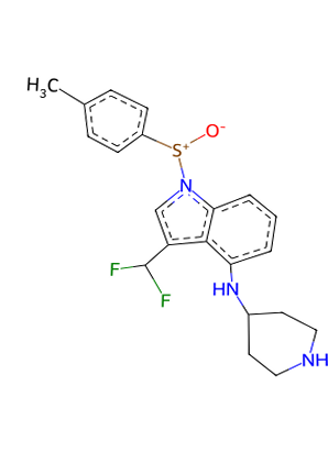 Cc1ccc([S+]([O-])n2cc(C(F)F)c3c(NC4CCNCC4)cccc32)cc1